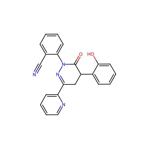 N#Cc1ccccc1N1N=C(c2ccccn2)CC(c2ccccc2O)C1=O